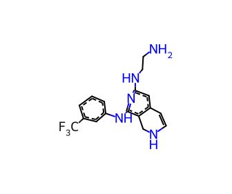 NCCNc1cc2c(c(Nc3cccc(C(F)(F)F)c3)n1)CNC=C2